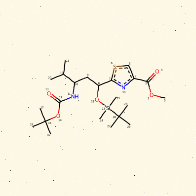 COC(=O)c1csc(C(CC(NC(=O)OC(C)(C)C)C(C)C)O[Si](C)(C)C(C)(C)C)n1